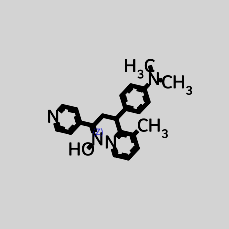 Cc1cccnc1C(C/C(=N/O)c1ccncc1)c1ccc(N(C)C)cc1